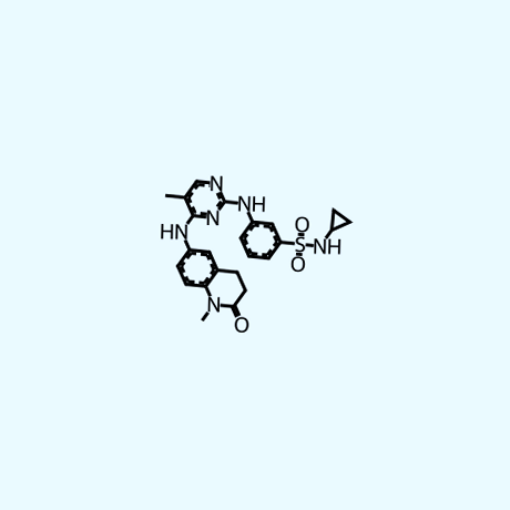 Cc1cnc(Nc2cccc(S(=O)(=O)NC3CC3)c2)nc1Nc1ccc2c(c1)CCC(=O)N2C